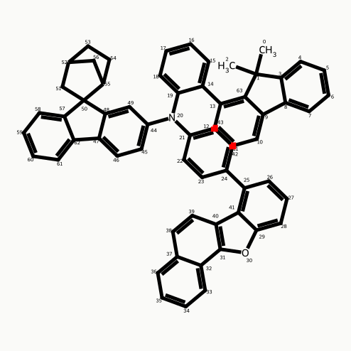 CC1(C)c2ccccc2-c2cccc(-c3ccccc3N(c3ccc(-c4cccc5oc6c7ccccc7ccc6c45)cc3)c3ccc4c(c3)C3(CC5CCC3C5)c3ccccc3-4)c21